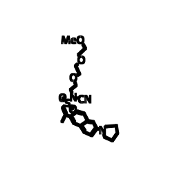 COCCOCCOCCN(C#N)S(=O)(=O)/C=C(/C)c1ccc2cc(N3CCCCC3)ccc2c1